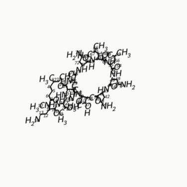 CCC(C)CCCC(=O)N(C)C(CCN)C(=O)NC(CNC(CCN)C(=O)NC1CCNC(=O)C(C(C)O)CC(=O)C(CCN)NC(=O)C(CCN)NC(=O)C(CC(C)C)NC(=O)C(CC(C)C)NC(=O)C(CCN)NC1=O)C(C)O